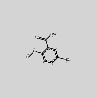 COC(=O)c1cc([N+](=O)[O-])ccc1OCl